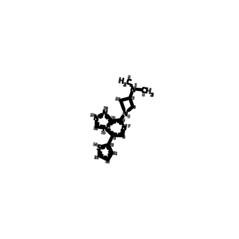 CN(C)C1CN(c2ncc(-c3cccs3)n3cnnc23)C1